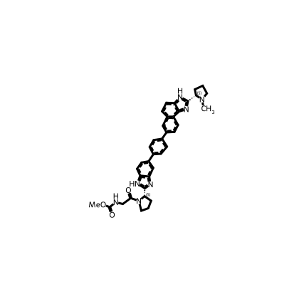 COC(=O)NCC(=O)N1CCC[C@H]1c1nc2cc(-c3ccc(-c4ccc5c(ccc6[nH]c([C@@H]7CCCN7C)nc65)c4)cc3)ccc2[nH]1